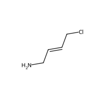 NC/C=C/CCl